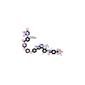 COc1ccc(C(=O)N2CCC(O[C@H]3CC[C@@H](Oc4ccc(-c5cc6c(-c7cc(F)cc(NC(=O)c8ccc(C(C)(C)O)cc8F)c7C)ncnc6[nH]5)cc4)CC3)CC2)cc1N1CCC(=O)NC1=O